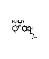 C[C@@H]1CCCN([C@H](C(N)=O)c2ccc3c(cnn3CCN(C)C)c2)C1